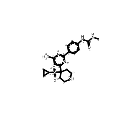 CNC(=O)Nc1ccc(-c2nc(N)cc(C3(S(=O)(=O)C4CC4)CCNCC3)n2)cc1